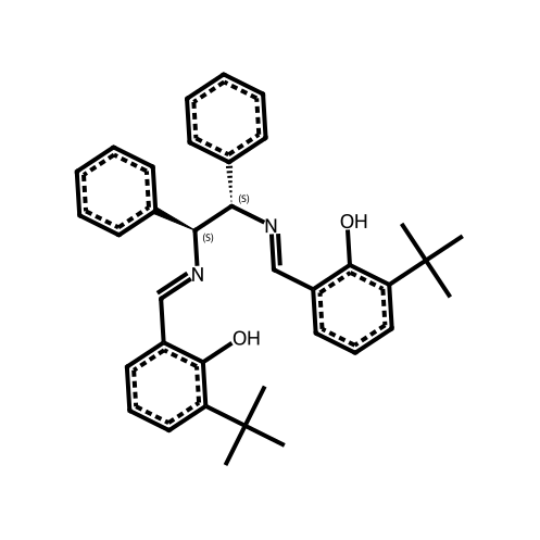 CC(C)(C)c1cccc(C=N[C@@H](c2ccccc2)[C@@H](N=Cc2cccc(C(C)(C)C)c2O)c2ccccc2)c1O